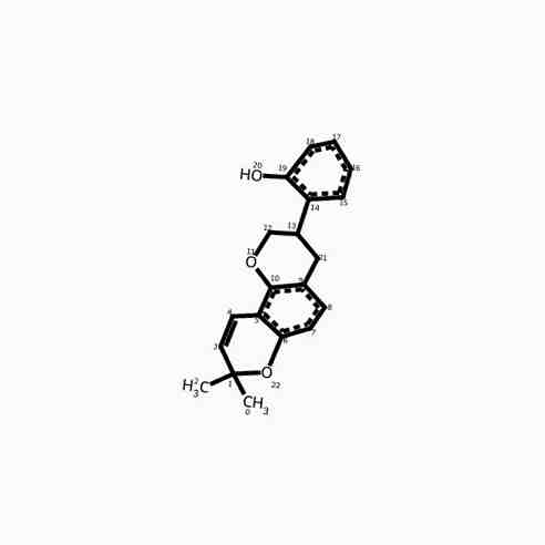 CC1(C)C=Cc2c(ccc3c2OCC(c2ccccc2O)C3)O1